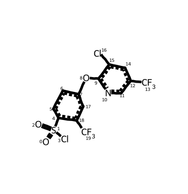 O=S(=O)(Cl)c1ccc(Oc2ncc(C(F)(F)F)cc2Cl)cc1C(F)(F)F